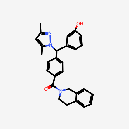 Cc1cc(C)n(C(c2ccc(C(=O)N3CCc4ccccc4C3)cc2)c2cccc(O)c2)n1